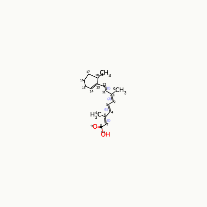 CC(=C/C=C/C(C)=C/C(=O)O)/C=C/C1=CCCCC1C